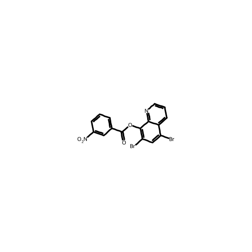 O=C(Oc1c(Br)cc(Br)c2cccnc12)c1cccc([N+](=O)[O-])c1